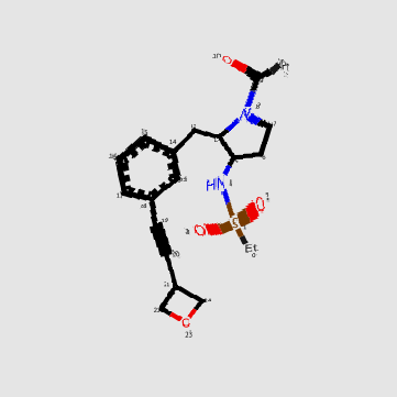 CCS(=O)(=O)NC1CCN(C(=O)C(C)C)C1Cc1cccc(C#CC2COC2)c1